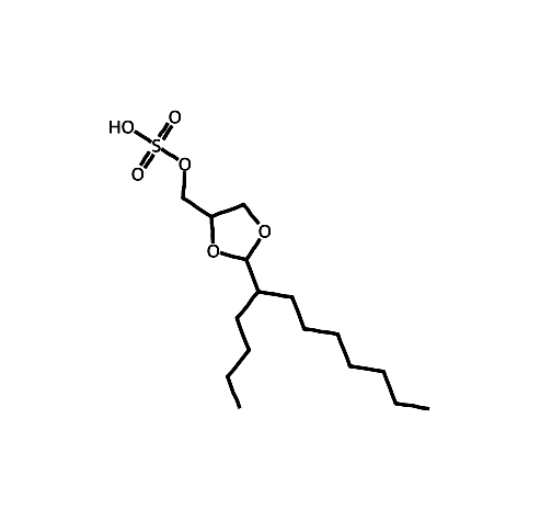 CCCCCCCC(CCCC)C1OCC(COS(=O)(=O)O)O1